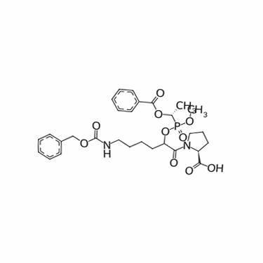 COP(=O)(OC(CCCCNC(=O)OCc1ccccc1)C(=O)N1CCC[C@H]1C(=O)O)[C@@H](C)OC(=O)c1ccccc1